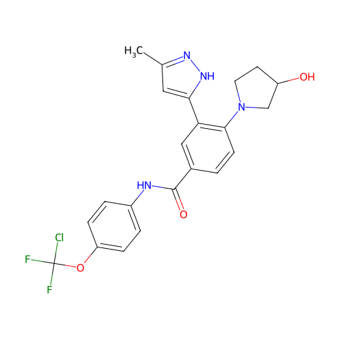 Cc1cc(-c2cc(C(=O)Nc3ccc(OC(F)(F)Cl)cc3)ccc2N2CCC(O)C2)[nH]n1